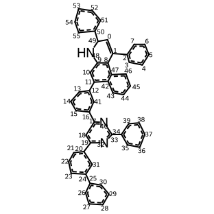 C1=C(c2ccccc2)c2c(cc(-c3cccc(-c4cc(-c5cccc(-c6ccccc6)c5)nc(-c5ccccc5)n4)c3)c3ccccc23)NC1c1ccccc1